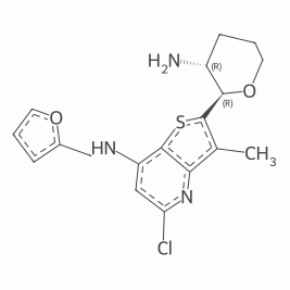 Cc1c([C@@H]2OCCC[C@H]2N)sc2c(NCc3ccco3)cc(Cl)nc12